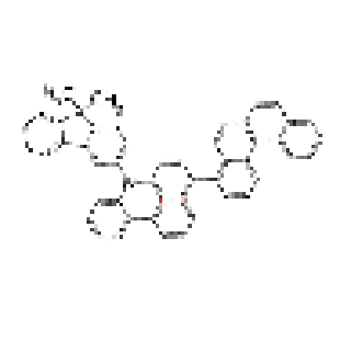 CC1(C)c2ccccc2-c2cc(N(c3ccc(-c4cccc5c4ccc4ccc6ccccc6c45)cc3)c3ccccc3-c3ccccc3)ccc21